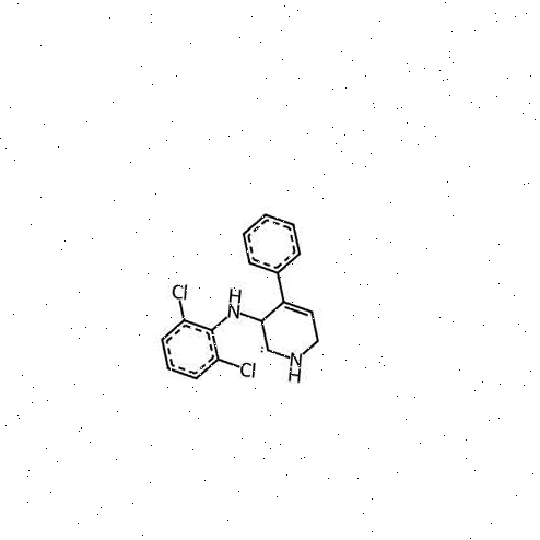 Clc1cccc(Cl)c1NC1[C]NCC=C1c1ccccc1